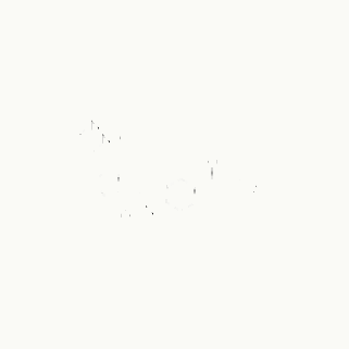 CC(=O)SCC(=O)c1ccc(NS(=O)(=O)c2coc(-c3ccnn3C)c2)cc1